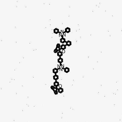 c1ccc(-c2nc(-c3ccc(-c4ccc5c(c4)Oc4cc(-c6ccccc6-c6cccc(-c7nc(-c8ccccc8)nc(-c8ccccc8)n7)c6)ccc4C54c5ccccc5-c5ccccc54)cc3)nc(-c3cccc(-c4ccc(-c5ccc6c(c5)Oc5ccccc5C65c6ccccc6-c6ccccc65)cc4)c3)n2)cc1